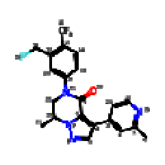 Cc1cc(-c2cnn3c2C(=O)N(c2ccc(C(F)(F)F)c(CF)c2)C[C@@H]3C)ccn1